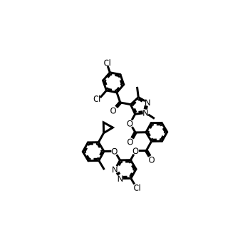 Cc1cccc(C2CC2)c1Oc1nnc(Cl)cc1OC(=O)c1ccccc1C(=O)Oc1c(C(=O)c2ccc(Cl)cc2Cl)c(C)nn1C